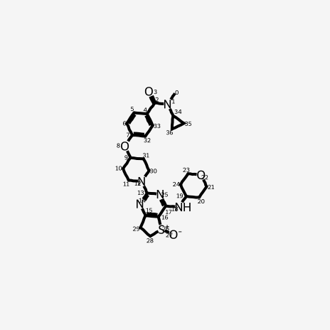 CN(C(=O)c1ccc(OC2CCN(c3nc4c(c(NC5CCOCC5)n3)[S+]([O-])CC4)CC2)cc1)C1CC1